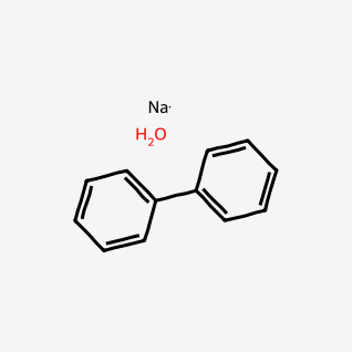 O.[Na].c1ccc(-c2ccccc2)cc1